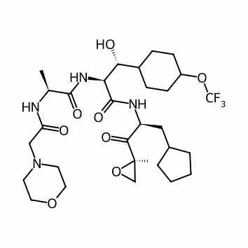 C[C@H](NC(=O)CN1CCOCC1)C(=O)N[C@H](C(=O)N[C@@H](CC1CCCC1)C(=O)[C@@]1(C)CO1)[C@H](O)C1CCC(OC(F)(F)F)CC1